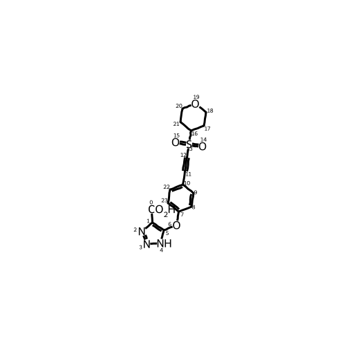 O=C(O)c1nn[nH]c1Oc1ccc(C#CS(=O)(=O)C2CCOCC2)cc1